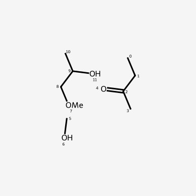 CCC(C)=O.CO.COCC(C)O